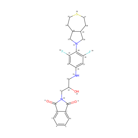 O=C1c2ccccc2C(=O)N1CC(O)CNc1cc(F)c(N2CC3CCSCCC3C2)c(F)c1